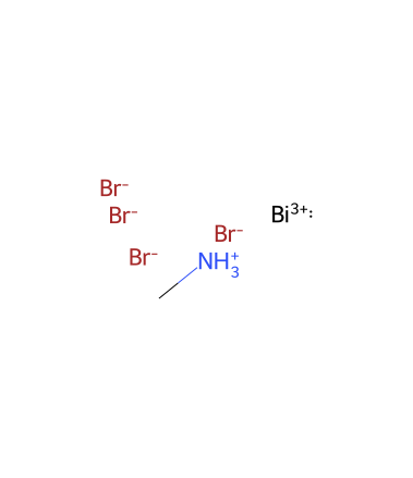 C[NH3+].[Bi+3].[Br-].[Br-].[Br-].[Br-]